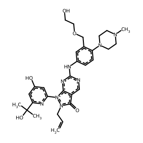 C=CCn1c(=O)c2cnc(Nc3ccc(N4CCN(C)CC4)c(COCCO)c3)nc2n1-c1cc(O)cc(C(C)(C)O)n1